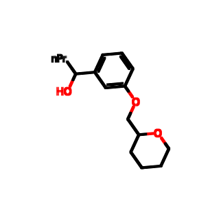 CCCC(O)c1cccc(OCC2CCCCO2)c1